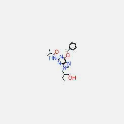 CCC(CO)Cn1cnc2c(OCc3ccccc3)nc(NC(=O)C(C)C)nc21